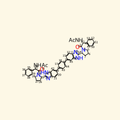 CC(=O)N[C@@H](C(=O)N1CCC[C@H]1c1nc2ccc(-c3ccc(-c4ccc5nc([C@@H]6CCCN6C(=O)[C@H](NC(C)=O)c6ccccc6)[nH]c5c4)cc3)cc2[nH]1)c1ccccc1